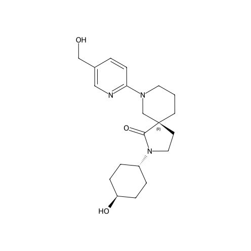 O=C1N([C@H]2CC[C@H](O)CC2)CC[C@@]12CCCN(c1ccc(CO)cn1)C2